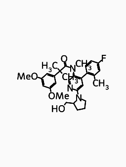 COc1cc(OC)cc(C(C)(C)C(=O)N(C)c2cnc(N3CCCC3CO)cc2-c2ccc(F)cc2C)c1